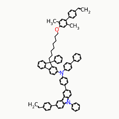 C=Cc1ccc(-c2ccc3c(c2)c2cc(-c4ccc(N(c5ccc(-c6ccccc6)cc5)c5ccc6c(c5)C(CCCCCCCCOc5cc(C)c(-c7ccc(C=C)cc7)cc5C)(c5ccccc5)c5ccccc5-6)cc4)ccc2n3-c2ccccc2)cc1